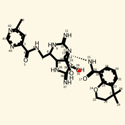 Cc1cc(C(=O)NCC2NC(=N)N3C[C@H](NC(=O)c4cccc5c4OCCC5(C)C)[C@](C)(O)C34C2NC(=N)N4O)ncn1